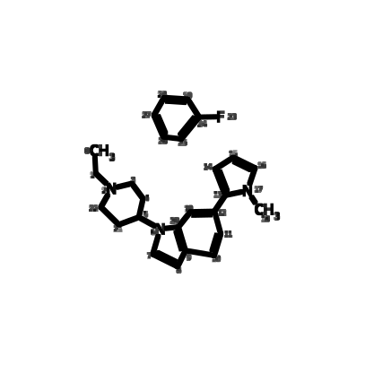 CCN1CCC(n2ccc3ccc(-c4cccn4C)cc32)CC1.Fc1ccccc1